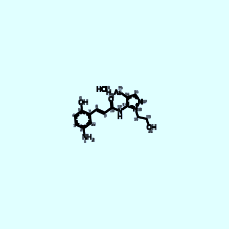 Cl.Nc1ccc(O)c(C=CC(=O)Nc2c([AsH2])cnn2CCO)c1